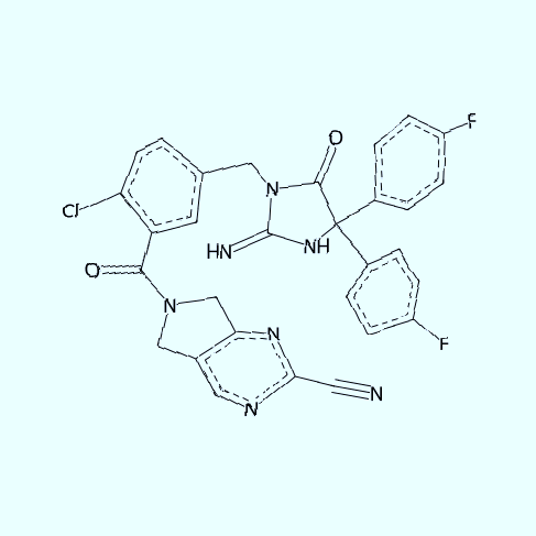 N#Cc1ncc2c(n1)CN(C(=O)c1cc(CN3C(=N)NC(c4ccc(F)cc4)(c4ccc(F)cc4)C3=O)ccc1Cl)C2